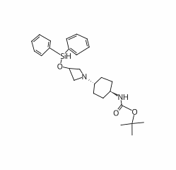 CC(C)(C)OC(=O)N[C@H]1CC[C@H](N2CC(O[SiH](c3ccccc3)c3ccccc3)C2)CC1